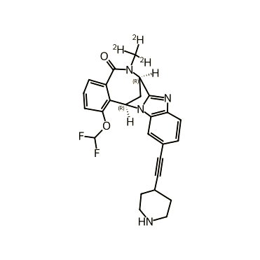 [2H]C([2H])([2H])N1C(=O)c2cccc(OC(F)F)c2[C@H]2C[C@@H]1c1nc3ccc(C#CC4CCNCC4)cc3n12